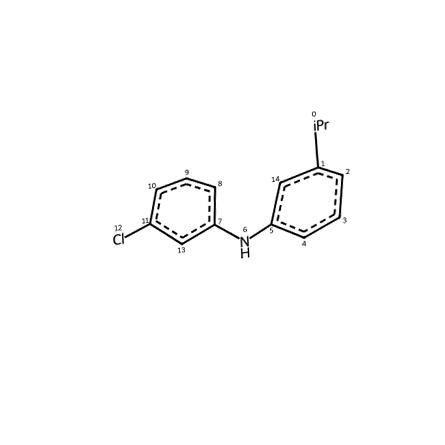 CC(C)c1cccc(Nc2cccc(Cl)c2)c1